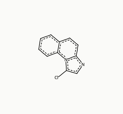 Clc1cnc2ccc3ccccc3n12